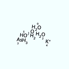 O.O.O.[AsH3].[K+].[OH-]